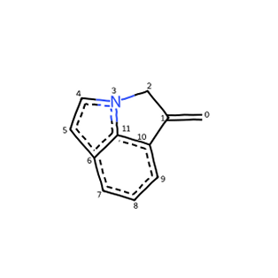 C=C1Cn2ccc3cccc1c32